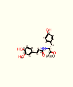 COC(=O)[C@@H](Cc1ccc(O)cc1)NC(=O)C=Cc1ccc(O)c(O)c1